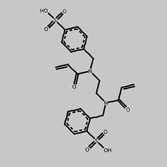 C=CC(=O)N(CCN(Cc1ccccc1S(=O)(=O)O)C(=O)C=C)Cc1ccc(S(=O)(=O)O)cc1